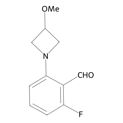 COC1CN(c2cccc(F)c2C=O)C1